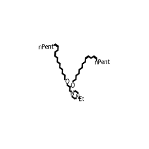 CCCCC/C=C\C/C=C\CCCCCCCCOCC(CN1CCN(CC)CC1)OCCCCCCCC/C=C\C/C=C\CCCCC